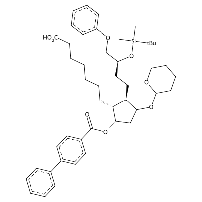 CC(C)(C)[Si](C)(C)O[C@@H](CC[C@H]1C(OC2CCCCO2)C[C@H](OC(=O)c2ccc(-c3ccccc3)cc2)[C@@H]1CCCCCCC(=O)O)COc1ccccc1